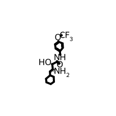 N[C@H](CC1CCCCC1)C(O)C(=O)NCc1ccc(OC(F)(F)F)cc1